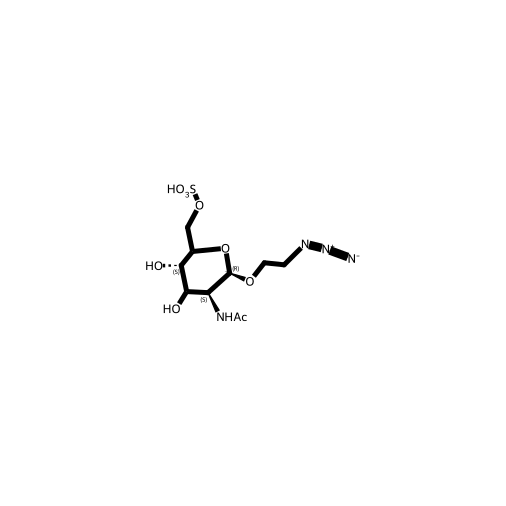 CC(=O)N[C@H]1C(O)[C@H](O)C(COS(=O)(=O)O)O[C@H]1OCCN=[N+]=[N-]